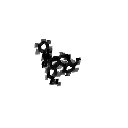 Cc1ccc(S(=O)(=O)NN=C2CCCCC2)c(-c2ccnc3c(F)cccc23)c1